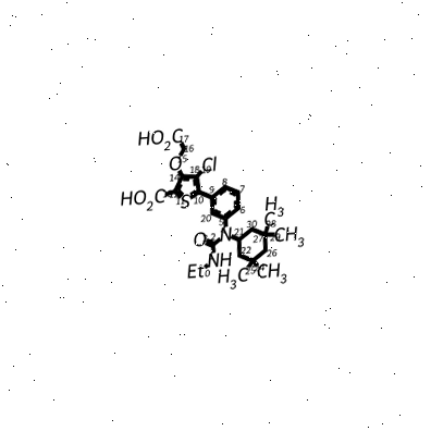 CCNC(=O)N(c1cccc(-c2sc(C(=O)O)c(OCC(=O)O)c2Cl)c1)C1CC(C)(C)CC(C)(C)C1